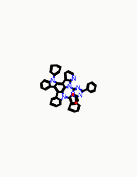 c1ccc(-c2nc(-c3ccccc3)nc(-n3c4ncccc4c4c5c(c6ccccc6n5-c5ccccc5)c5c6ccccc6n(-c6ccccc6)c5c43)n2)cc1